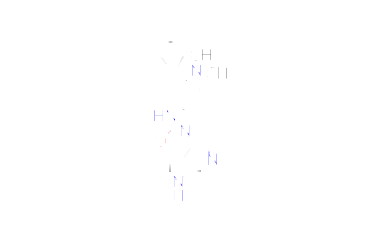 CN(C)C1(c2ccccc2)CCC2(CC1)CN(c1cncc3[nH]ccc13)C(=O)N2